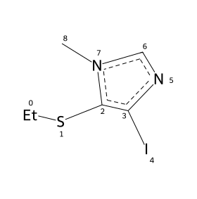 CCSc1c(I)ncn1C